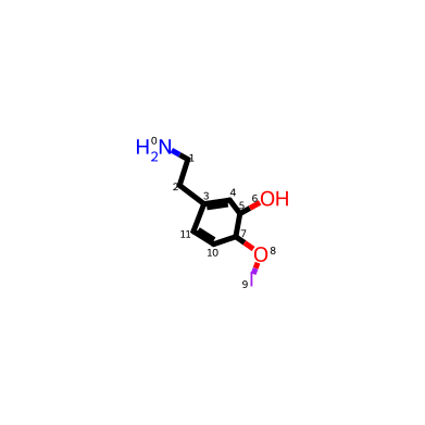 NCCC1=CC(O)C(OI)C=C1